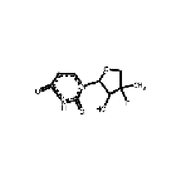 CC1(F)COC(n2ccc(=O)[nH]c2=O)C1O